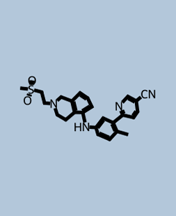 Cc1ccc(Nc2cccc3c2CCN(CCS(C)(=O)=O)C3)cc1-c1ccc(C#N)cn1